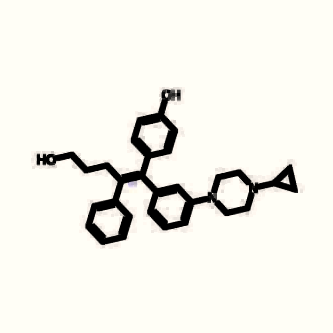 OCCC/C(=C(\c1ccc(O)cc1)c1cccc(N2CCN(C3CC3)CC2)c1)c1ccccc1